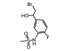 CS(=O)(=O)Nc1cc(C(O)CBr)ccc1F